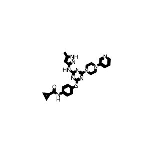 Cc1cc(Nc2nc(Sc3ccc(NC(=O)C4CC4)cc3)nc(N3CCN(c4cccnc4)CC3)n2)n[nH]1